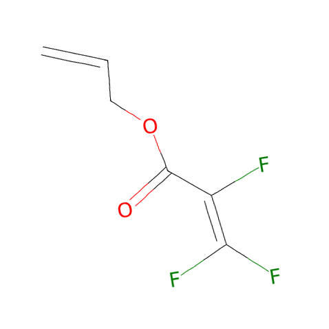 C=CCOC(=O)C(F)=C(F)F